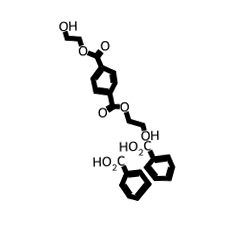 O=C(O)c1ccccc1.O=C(O)c1ccccc1.O=C(OCCO)c1ccc(C(=O)OCCO)cc1